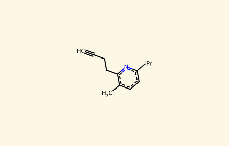 C#CCCc1nc(C(C)C)ccc1C